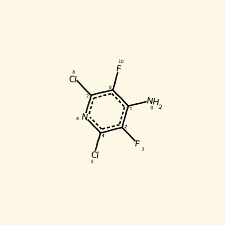 Nc1c(F)c(Cl)nc(Cl)c1F